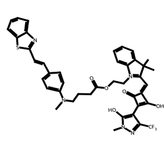 CN(CCCC(=O)OCC[N+]1=C(/C=C2\C(=O)C(c3c(C(F)(F)F)nn(C)c3O)=C2O)C(C)(C)c2ccccc21)c1ccc(/C=C/c2nc3ccccc3s2)cc1